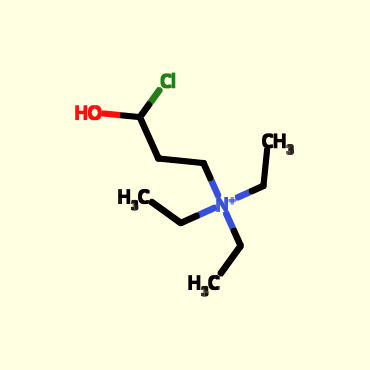 CC[N+](CC)(CC)CCC(O)Cl